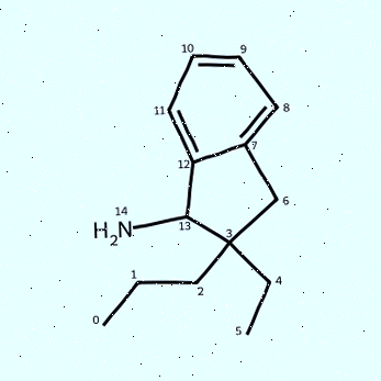 CCCC1(CC)Cc2ccccc2C1N